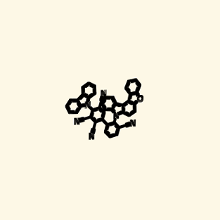 N#Cc1cc(-c2cccc(C#N)c2-n2c3ccccc3c3c4c(ccc32)oc2ccccc24)c(C#N)c(C#N)c1-n1c2ccccc2c2ccccc21